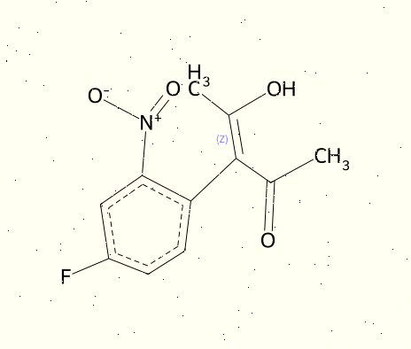 CC(=O)/C(=C(/C)O)c1ccc(F)cc1[N+](=O)[O-]